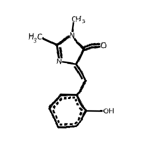 CC1=N/C(=C\c2ccccc2O)C(=O)N1C